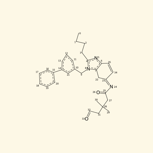 CCCCc1nc2c(n1Cc1cccc(-c3ccccc3)c1)CC(=NC(=O)CC(C)(C)CC=O)C=C2